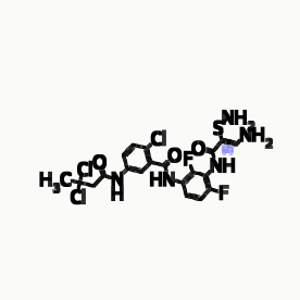 CC(Cl)(Cl)CC(=O)Nc1ccc(Cl)c(C(=O)Nc2ccc(F)c(NC(=O)/C(=C/N)SN)c2F)c1